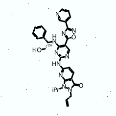 C=CCn1c(=O)c2ccc(Nc3ncc(-c4nc(-c5cccnc5)no4)c(N[C@H](CO)c4ccccc4)n3)nc2n1C(C)C